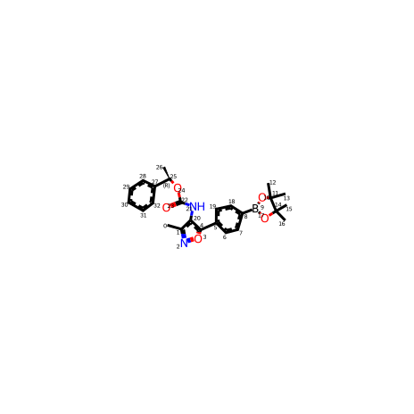 Cc1noc(-c2ccc(B3OC(C)(C)C(C)(C)O3)cc2)c1NC(=O)O[C@H](C)c1ccccc1